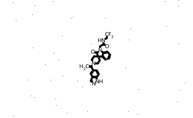 C=C(c1ccc2[nH]ncc2c1)N1CCC2(CC1)C(=O)N(CC(=O)NCC(F)(F)F)c1ccccc12